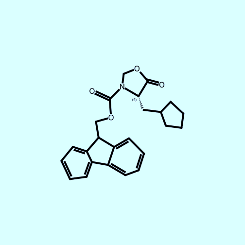 O=C1OCN(C(=O)OCC2c3ccccc3-c3ccccc32)[C@H]1CC1CCCC1